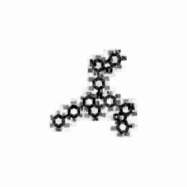 c1ccc(-c2ccc(-c3ccc(N(c4ccc(-c5cncc6c5oc5ccccc56)cc4)c4ccc(-c5cncc6c5oc5ccccc56)cc4)c4ccccc34)cc2)cc1